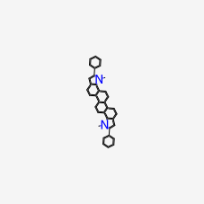 Cn1c(-c2ccccc2)cc2ccc3c4ccc5c(ccc6cc(-c7ccccc7)n(C)c65)c4ccc3c21